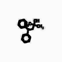 CC(C)(O)CP(c1ccccc1)c1ccccc1